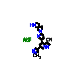 Cl.Cl.Cn1cc(-c2cc(-c3ccc(N4CCC5(CCNC5)C4)nc3)c3c(C#N)cnn3c2)cn1